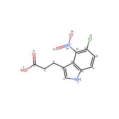 O=C(O)CCc1c[nH]c2ccc(Cl)c([N+](=O)[O-])c12